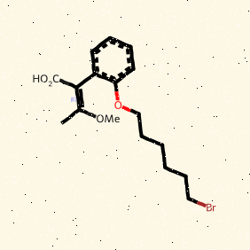 CO/C(C)=C(/C(=O)O)c1ccccc1OCCCCCCBr